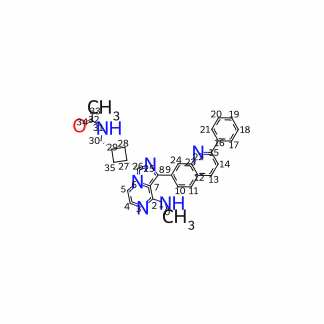 CNc1nccn2c1c(-c1ccc3ccc(-c4ccccc4)nc3c1)nc2[C@H]1C[C@@H](CNC(C)=O)C1